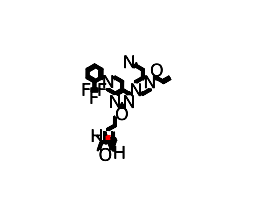 C=CC(=O)N1CCN(c2nc(OCCCN3C[C@@H]4OC[C@H]3[C@H]4C)nc3c2CCN(c2ccccc2C(F)(F)F)C3)CC1CC#N